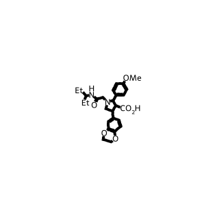 CCC(CC)NC(=O)CN1CC(c2ccc3c(c2)OCCO3)C(C(=O)O)C1c1ccc(OC)cc1